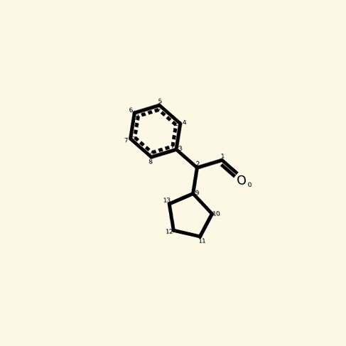 O=C[C](c1ccccc1)C1CCCC1